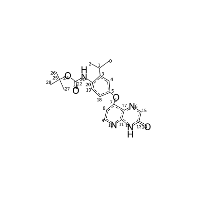 CC(C)c1cc(Oc2ccnc3[nH]c(=O)cnc23)ccc1NC(=O)OC(C)(C)C